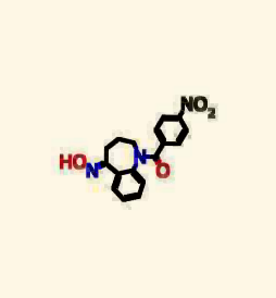 O=C(c1ccc([N+](=O)[O-])cc1)N1CCCC(=NO)c2ccccc21